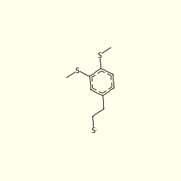 CSc1ccc(CC[S])cc1SC